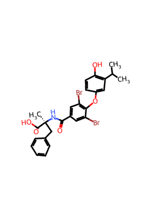 CC(C)c1cc(Oc2c(Br)cc(C(=O)N[C@@](C)(Cc3ccccc3)C(=O)O)cc2Br)ccc1O